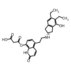 CCc1cc2c(c(O)c1CC)C[C@H](NCCc1ccc(OC(=O)CC(=O)O)c3[nH]c(=O)ccc13)C2